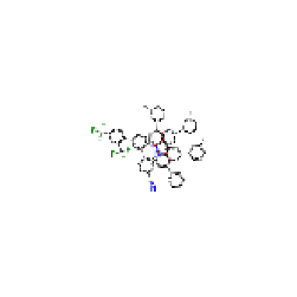 Cc1cccc(-c2ccc3c(c2)c2cc(-c4cccc(C)c4)ccc2n3-c2ccc(-c3ccc(C(F)(F)F)cc3C(F)(F)F)cc2-c2ccc(C#N)cc2-n2c3ccc(-c4cccc(C)c4)cc3c3cc(-c4cccc(C)c4)ccc32)c1